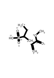 C=CC(=O)OC.CCC(C)S(=O)(=O)O